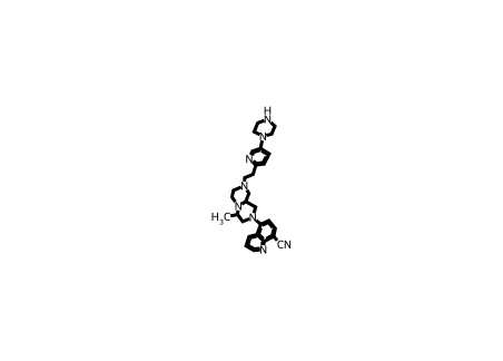 CC1CN(c2ccc(C#N)c3ncccc23)CC2CN(CCc3ccc(N4CCNCC4)cn3)CCN12